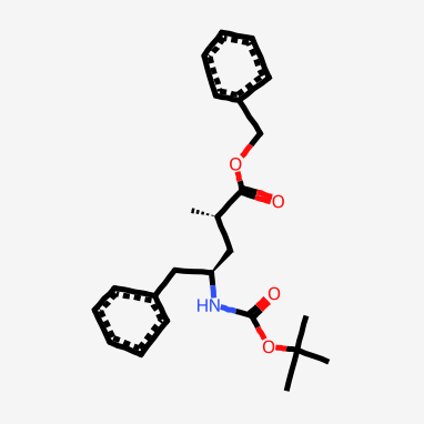 C[C@@H](C[C@H](Cc1ccccc1)NC(=O)OC(C)(C)C)C(=O)OCc1ccccc1